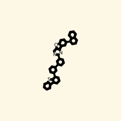 c1cc(-c2cccc(-c3cccc4c3sc3ccccc34)c2)cc(-c2ncc3oc4ccc(-c5cccc6ccccc56)cc4c3n2)c1